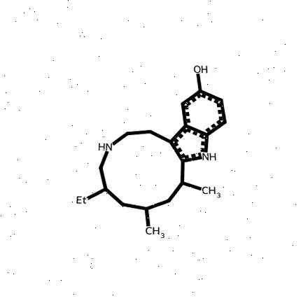 CCC1CNCCc2c([nH]c3ccc(O)cc23)C(C)CC(C)C1